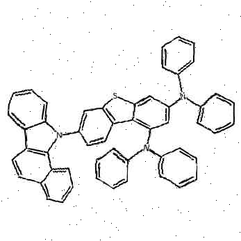 c1ccc(N(c2ccccc2)c2cc(N(c3ccccc3)c3ccccc3)c3c(c2)sc2cc(-n4c5ccccc5c5ccc6ccccc6c54)ccc23)cc1